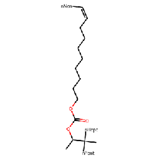 CCCCCCCCC/C=C\CCCCCCCCOC(=O)OC(C)C(C)(CCCCC)CCCCCCC